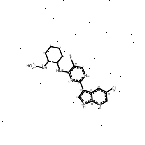 O=C(O)NC1CCCCC1Nc1nc(-c2c[nH]c3ncc(Cl)cc23)ncc1F